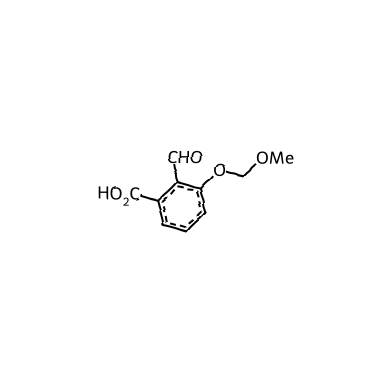 COCOc1cccc(C(=O)O)c1C=O